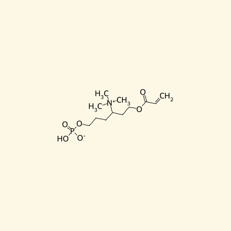 C=CC(=O)OCCC(CCCOP(=O)([O-])O)[N+](C)(C)C